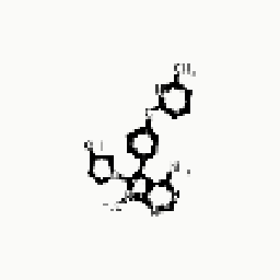 Cc1cccc(Oc2ccc(-c3c(N4CCC(O)C4)n(C)c4ncnc(N)c34)cc2)n1